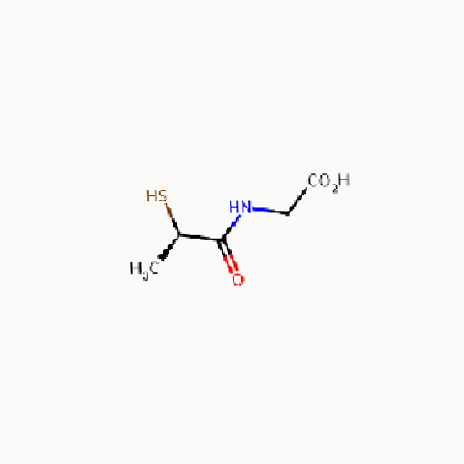 C[C@@H](S)C(=O)NCC(=O)O